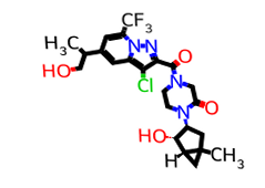 CC(CO)c1cc(C(F)(F)F)n2nc(C(=O)N3CCN([C@H]4CC5(C)C[C@@H]5[C@@H]4O)C(=O)C3)c(Cl)c2c1